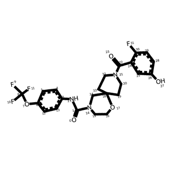 O=C(Nc1ccc(OC(F)(F)F)cc1)N1CCOC2(CCN(C(=O)c3cc(O)ccc3F)CC2)C1